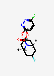 CC(C)(C)OC(=O)N1[C@@H]2CC(F)C[C@H]1C[C@H](Oc1ccc(Cl)nn1)C2